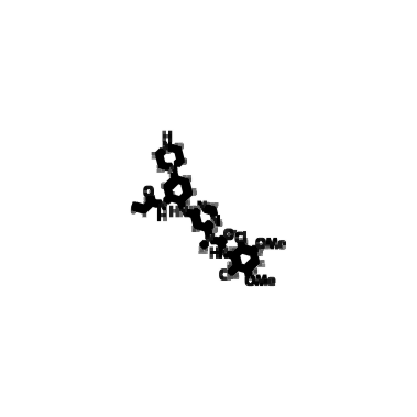 C=CC(=O)NC1C=C(N2CCNCC2)C=CC1Nc1cc(N(C)C(=O)Nc2c(Cl)c(OC)cc(OC)c2Cl)ncn1